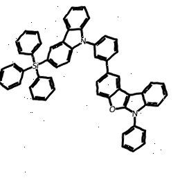 c1ccc(-n2c3ccccc3c3c4cc(-c5cccc(-n6c7ccccc7c7cc([Si](c8ccccc8)(c8ccccc8)c8ccccc8)ccc76)c5)ccc4oc32)cc1